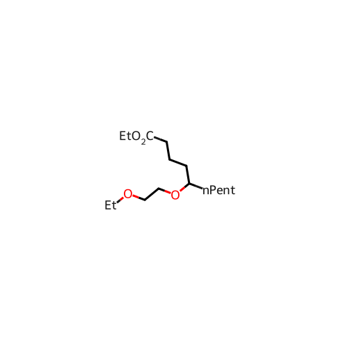 CCCCCC(CCCC(=O)OCC)OCCOCC